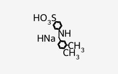 Cc1ccc(CNc2ccc(S(=O)(=O)O)cc2)cc1C.[NaH]